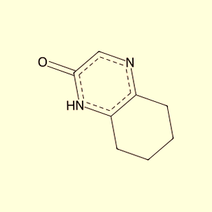 O=c1cnc2c([nH]1)CCCC2